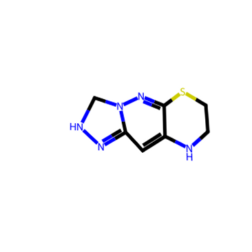 C1=C2NCCSC2=NN2CNN=C12